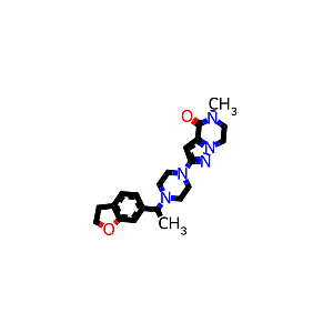 CC(c1ccc2c(c1)OCC2)N1CCN(c2cc3n(n2)CCN(C)C3=O)CC1